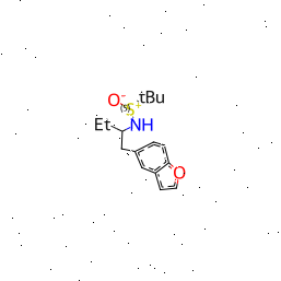 CCC(Cc1ccc2occc2c1)N[S@+]([O-])C(C)(C)C